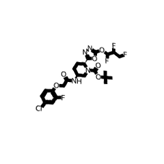 CC(C)(C)OC(=O)N1C[C@@H](NC(=O)COc2ccc(Cl)cc2F)CC[C@@H]1c1nnc(OC(F)C(F)CF)o1